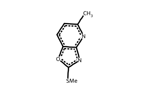 CSc1nc2nc(C)ccc2o1